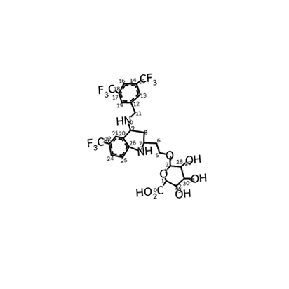 O=C(O)C1OC(OCCC2CC(NCc3cc(C(F)(F)F)cc(C(F)(F)F)c3)c3cc(C(F)(F)F)ccc3N2)C(O)C(O)C1O